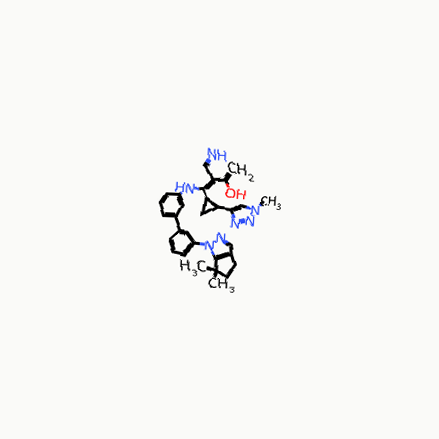 C=C(O)/C(C=N)=C(/Nc1cccc(-c2cccc(-n3ncc4c3C(C)(C)CC4)c2)c1)[C@@H]1CC1c1cn(C)nn1